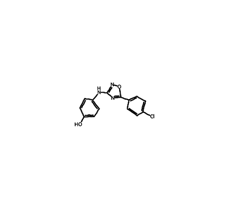 Oc1ccc(Nc2noc(-c3ccc(Cl)cc3)n2)cc1